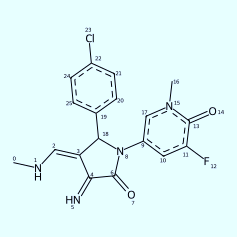 CN/C=C1\C(=N)C(=O)N(c2cc(F)c(=O)n(C)c2)C1c1ccc(Cl)cc1